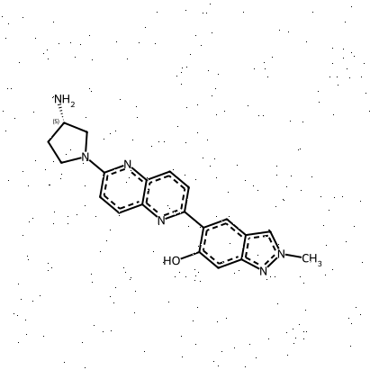 Cn1cc2cc(-c3ccc4nc(N5CC[C@H](N)C5)ccc4n3)c(O)cc2n1